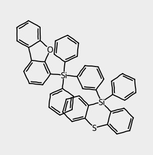 c1ccc([Si]2(c3cccc([Si](c4ccccc4)(c4ccccc4)c4cccc5c4oc4ccccc45)c3)c3ccccc3Sc3ccccc32)cc1